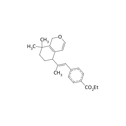 CCOC(=O)c1ccc(C=C(C)C2CCC(C)(C)C3=C2C=COC3)cc1